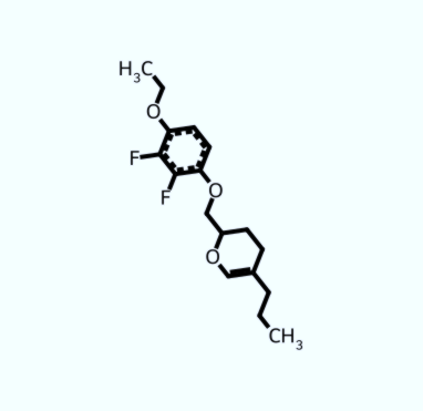 CCCC1=COC(COc2ccc(OCC)c(F)c2F)CC1